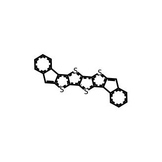 C1=c2sc3c(sc4c5sc6c(c5sc34)-c3ccccc3C=6)c2-c2ccccc21